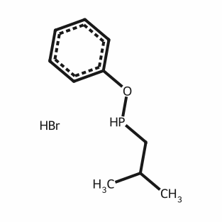 Br.CC(C)CPOc1ccccc1